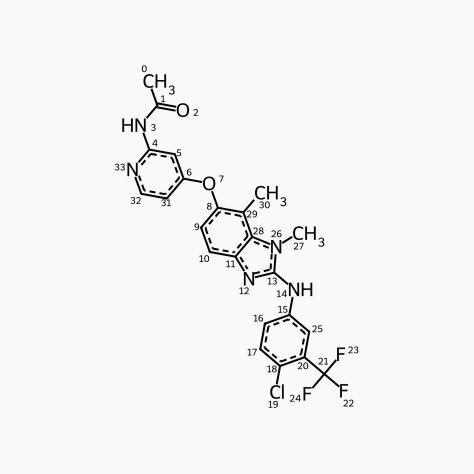 CC(=O)Nc1cc(Oc2ccc3nc(Nc4ccc(Cl)c(C(F)(F)F)c4)n(C)c3c2C)ccn1